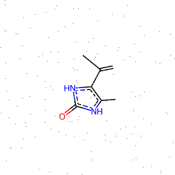 C=C(C)c1[nH]c(=O)[nH]c1C